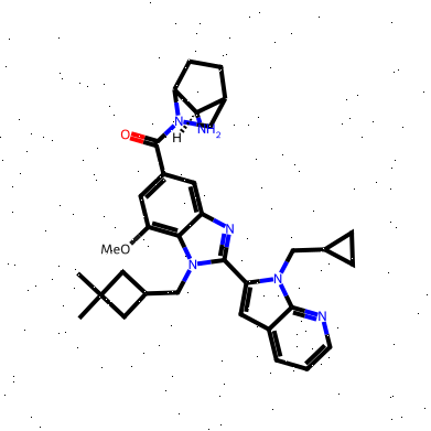 COc1cc(C(=O)N2CC3CCC2[C@@H]3N)cc2nc(-c3cc4cccnc4n3CC3CC3)n(CC3CC(C)(C)C3)c12